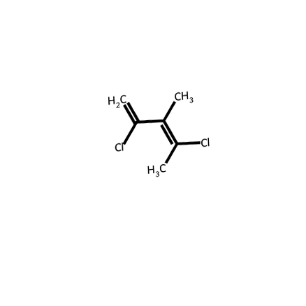 C=C(Cl)/C(C)=C(\C)Cl